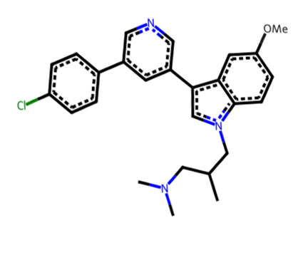 COc1ccc2c(c1)c(-c1cncc(-c3ccc(Cl)cc3)c1)cn2CC(C)CN(C)C